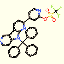 O=S(=O)(Oc1cc(-c2ccc3c4cnccc4n(C(c4ccccc4)(c4ccccc4)c4ccccc4)c3n2)ccn1)C(F)(F)F